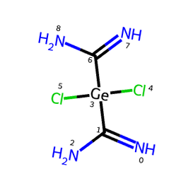 N=[C](N)[Ge]([Cl])([Cl])[C](=N)N